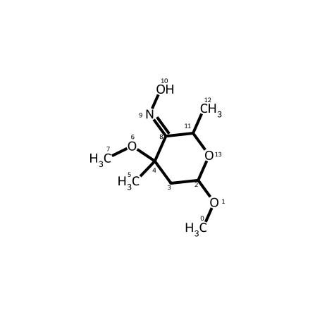 COC1CC(C)(OC)/C(=N/O)C(C)O1